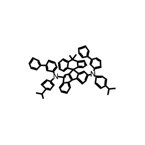 CC(C)c1ccc(N(c2cccc(-c3ccccc3)c2)c2ccc3c(c2)C2(c4ccccc4C(C)(C)c4ccccc42)c2cc(N(c4ccc(C(C)C)cc4)c4cccc(-c5ccccc5)c4)c4ccccc4c2-3)cc1